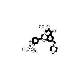 CCOC(=O)c1cn2c3c(cc(CN4CCOCC4)cc3c1=O)OC(c1cccc(O[Si](C)(C)C(C)(C)C)c1)C2